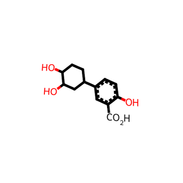 O=C(O)c1cc(C2CCC(O)C(O)C2)ccc1O